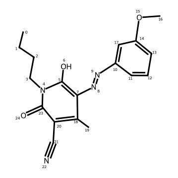 CCCCn1c(O)c(/N=N/c2cccc(OC)c2)c(C)c(C#N)c1=O